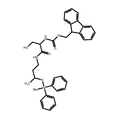 CC(CCNC(=O)C(CO)NC(=O)OCC1c2ccccc2-c2ccccc21)O[Si](c1ccccc1)(c1ccccc1)C(C)(C)C